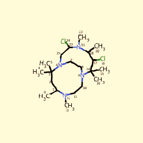 CC1CC(C)(C)N2CCN(CCN1C)C(C)(C)C(Cl)C(C)N(C)C(Cl)C2